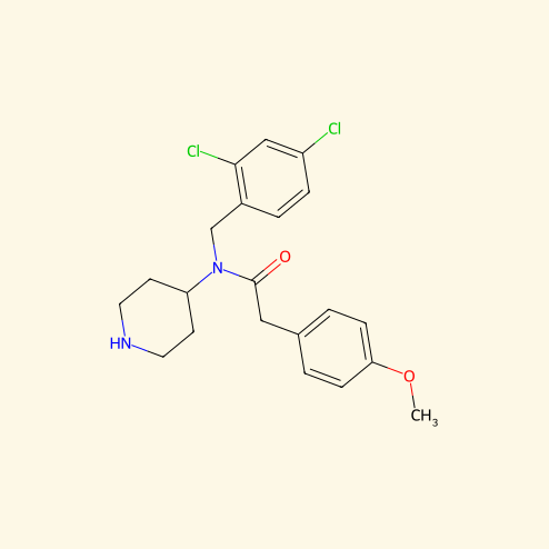 COc1ccc(CC(=O)N(Cc2ccc(Cl)cc2Cl)C2CCNCC2)cc1